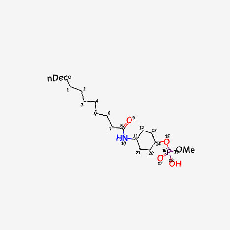 CCCCCCCCCCCCCCCCCC(=O)NC1CCC(OP(=O)(O)OC)CC1